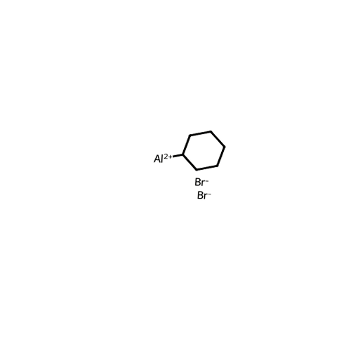 [Al+2][CH]1CCCCC1.[Br-].[Br-]